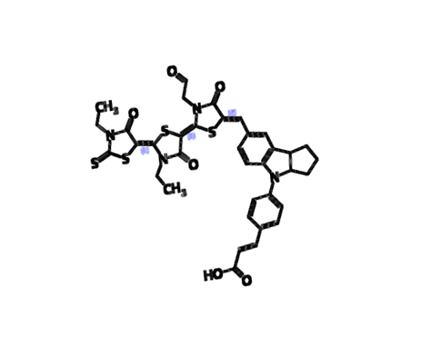 CCN1C(=O)/C(=c2\s/c(=c3/s/c(=C\c4ccc5c(c4)C4CCCC4N5c4ccc(C=CC(=O)O)cc4)c(=O)n3CC=O)c(=O)n2CC)SC1=S